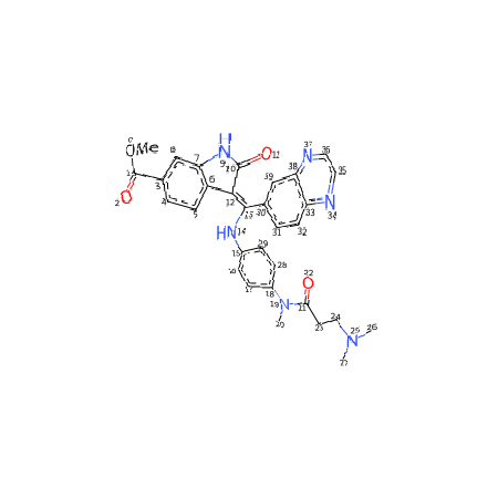 COC(=O)c1ccc2c(c1)NC(=O)C2=C(Nc1ccc(N(C)C(=O)CCN(C)C)cc1)c1ccc2nccnc2c1